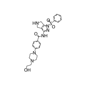 O=C(Nc1nn(S(=O)(=O)c2ccccc2)c2c1CNC2)c1ccc(N2CCN(CCO)CC2)cc1